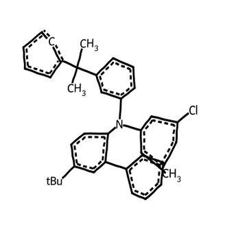 Cc1cc(Cl)cc(N(c2cccc(C(C)(C)c3ccccc3)c2)c2ccc(C(C)(C)C)cc2-c2ccccc2)c1